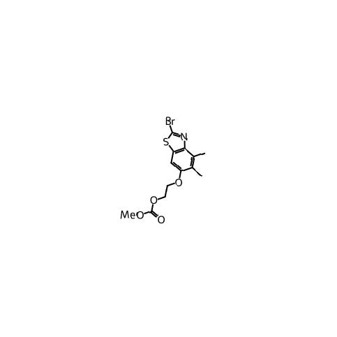 COC(=O)OCCOc1cc2sc(Br)nc2c(C)c1C